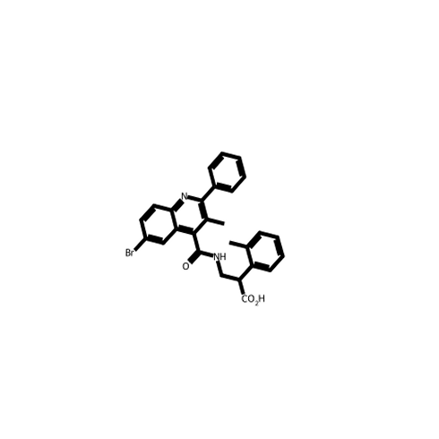 Cc1ccccc1C(CNC(=O)c1c(C)c(-c2ccccc2)nc2ccc(Br)cc12)C(=O)O